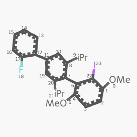 COc1ccc(OC)c(-c2c(C(C)C)cc(-c3ccccc3F)cc2C(C)C)c1I